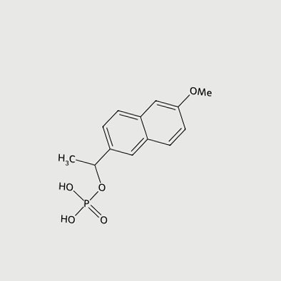 COc1ccc2cc(C(C)OP(=O)(O)O)ccc2c1